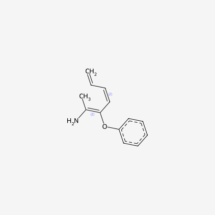 C=C/C=C\C(Oc1ccccc1)=C(/C)N